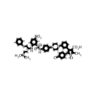 CCn1c(C)c(C(=O)O)c(-c2cccc(N3CCN(c4ccc(NS(=O)(=O)c5cc([N+](=O)[O-])ccc5N[C@H](CCN(C)C)CSc5ccccc5)cc4)CC3)c2)c1-c1ccc(Cl)cc1